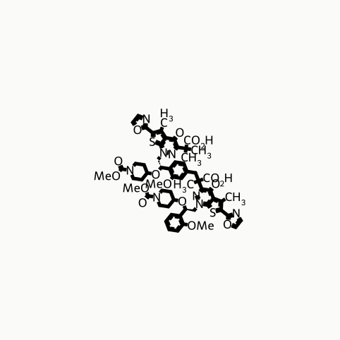 COC(=O)N1CCC(O[C@@H](Cn2nc(C(C)(Cc3ccc([C@@H](Cn4nc(C(C)(C)C(=O)O)c(=O)c5c(C)c(-c6ncco6)sc54)OC4CCN(C(=O)OC)CC4)c(OC)c3)C(=O)O)c(=O)c3c(C)c(-c4ncco4)sc32)c2ccccc2OC)CC1